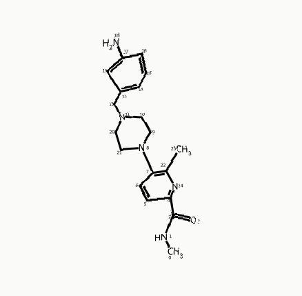 CNC(=O)c1ccc(N2CCN(Cc3cccc(N)c3)CC2)c(C)n1